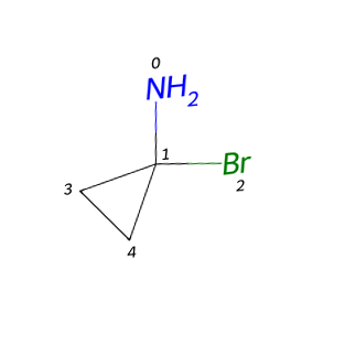 NC1(Br)CC1